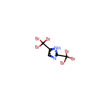 BrC(Br)(Br)c1cnc(C(Br)(Br)Br)[nH]1